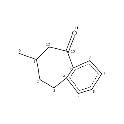 CC1CCc2ccccc2C(=O)C1